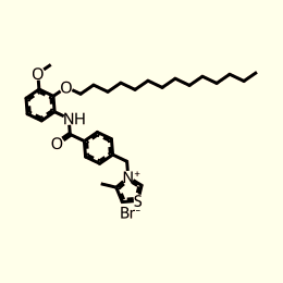 CCCCCCCCCCCCCCOc1c(NC(=O)c2ccc(C[n+]3cscc3C)cc2)cccc1OC.[Br-]